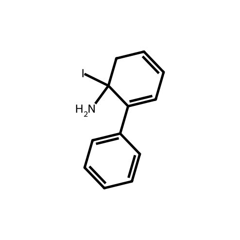 NC1(I)CC=CC=C1c1ccccc1